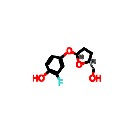 OC[C@H]1CC[C@H](Oc2ccc(O)c(F)c2)O1